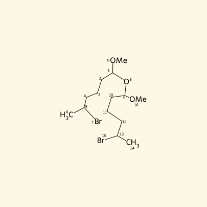 COC(CCCC(C)Br)OC(CCCC(C)Br)OC